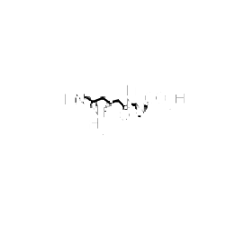 CN(CC(=O)O)NC(=O)C[C@H](F)C[C@H](N)CN